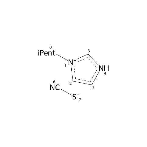 CCCC(C)[n+]1cc[nH]c1.N#C[S-]